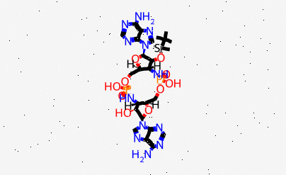 CC(C)(C)[Si](C)(C)OC1[C@H](n2cnc3c(N)ncnc32)O[C@@H]2COP(=O)(O)N[C@H]3[C@@H](O)[C@H](n4cnc5c(N)ncnc54)O[C@@H]3COP(=O)(O)N[C@@H]12